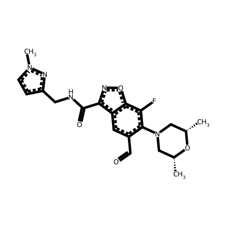 C[C@@H]1CN(c2c(C=O)cc3c(C(=O)NCc4ccn(C)n4)noc3c2F)C[C@H](C)O1